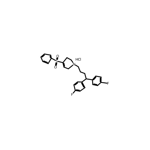 Cl.O=S(=O)(C1=CCN(CCCC(c2ccc(F)cc2)c2ccc(F)cc2)CC1)c1ccccc1